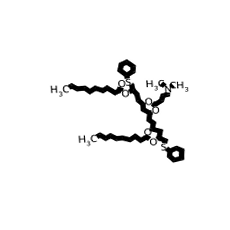 CCCCCCCCCC(=O)OC(CCCCC(CCCCC(CSC1CCCCC1)OC(=O)CCCCCCCCC)OC(=O)CCCN(C)C)CSC1CCCCC1